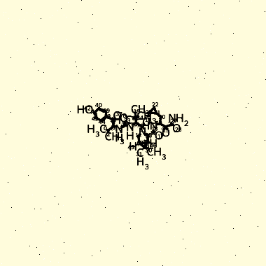 CC(C)[C@H](NC(=O)N[C@H](C(=O)N1C[C@H]2[C@@H]([C@H]1C(=O)NC(CC1CC1)C(=O)C(N)=O)C2(C)C)C(C)(C)C)C(=O)c1ccc(O)cc1